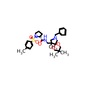 Cc1ccc(S(=O)(=O)N2CCC[C@@H]2C(=O)NCC2(C)CN(Cc3ccccc3)CC23OCC(C)(C)CO3)cc1